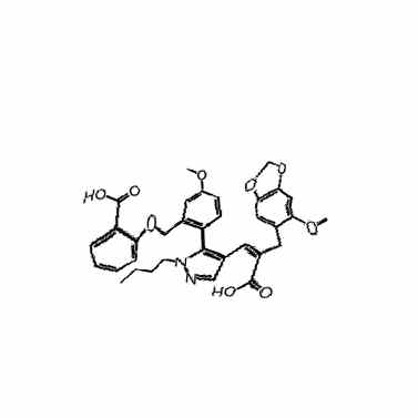 CCCCn1ncc(C=C(Cc2cc3c(cc2OC)OCO3)C(=O)O)c1-c1ccc(OC)cc1COc1ccccc1C(=O)O